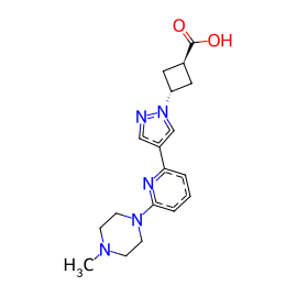 CN1CCN(c2cccc(-c3cnn([C@H]4C[C@H](C(=O)O)C4)c3)n2)CC1